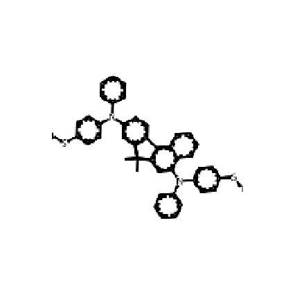 CC1(C)c2cc(N(c3ccccc3)c3ccc(SI)cc3)ccc2-c2c1cc(N(c1ccccc1)c1ccc(SI)cc1)c1ccccc21